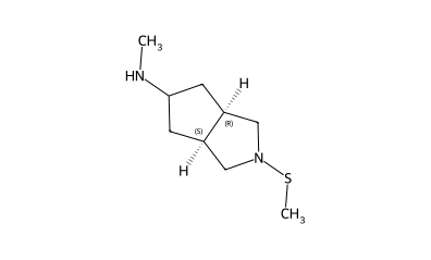 CNC1C[C@@H]2CN(SC)C[C@@H]2C1